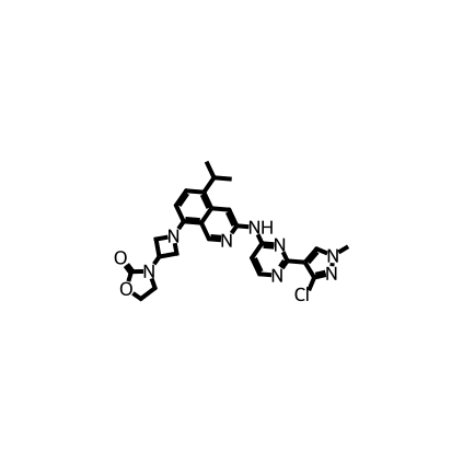 CC(C)c1ccc(N2CC(N3CCOC3=O)C2)c2cnc(Nc3ccnc(-c4cn(C)nc4Cl)n3)cc12